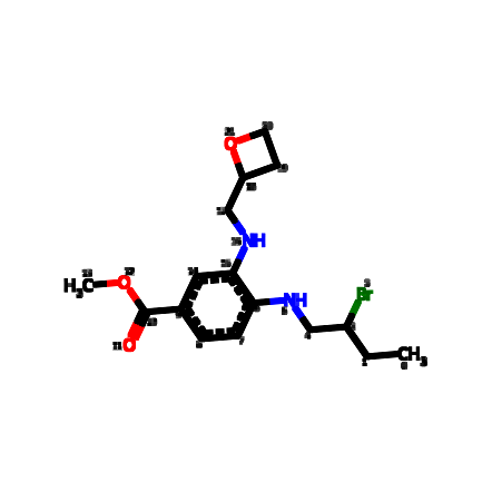 CCC(Br)CNc1ccc(C(=O)OC)cc1NCC1CCO1